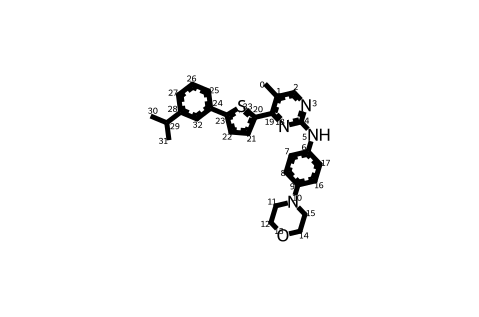 Cc1cnc(Nc2ccc(N3CCOCC3)cc2)nc1-c1ccc(-c2cccc(C(C)C)c2)s1